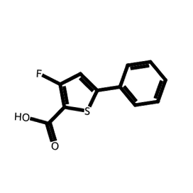 O=C(O)c1sc(-c2ccccc2)cc1F